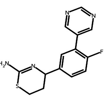 NC1=NC(c2ccc(F)c(-c3cncnc3)c2)CCS1